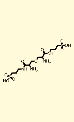 NC(COCC(N)C(=O)NCCCS(=O)(=O)O)C(=O)NCCCS(=O)(=O)O